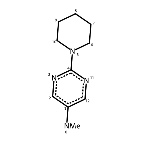 CNc1cnc(N2CCCCC2)nc1